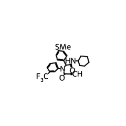 C#CC(=O)N(c1cccc(C(F)(F)F)c1)C(C(=O)NC1CCCCC1)c1ccc(SC)cc1